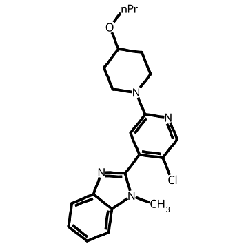 CCCOC1CCN(c2cc(-c3nc4ccccc4n3C)c(Cl)cn2)CC1